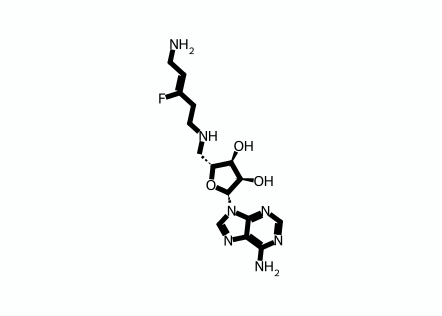 NC/C=C(\F)CCNC[C@H]1O[C@@H](n2cnc3c(N)ncnc32)[C@H](O)[C@@H]1O